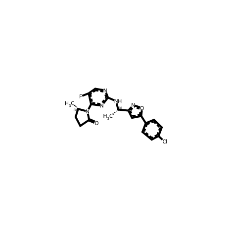 C[C@H](Nc1ncc(F)c(N2C(=O)CC[C@@H]2C)n1)c1cc(-c2ccc(Cl)cc2)on1